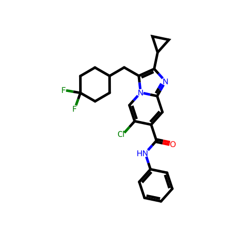 O=C(Nc1ccccc1)c1cc2nc(C3CC3)c(CC3CCC(F)(F)CC3)n2cc1Cl